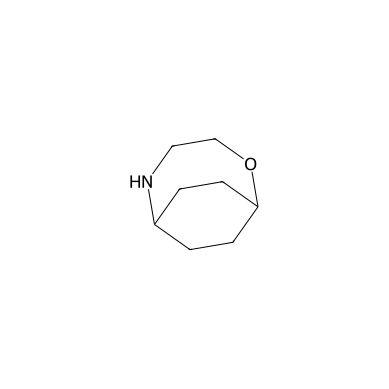 C1COC2CCC(CC2)N1